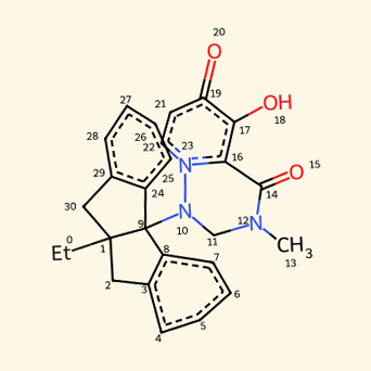 CCC12Cc3ccccc3C1(N1CN(C)C(=O)c3c(O)c(=O)ccn31)c1ccccc1C2